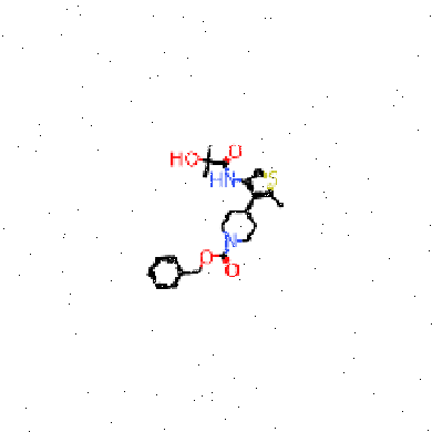 Cc1scc(NC(=O)C(C)(C)O)c1C1CCN(C(=O)OCc2ccccc2)CC1